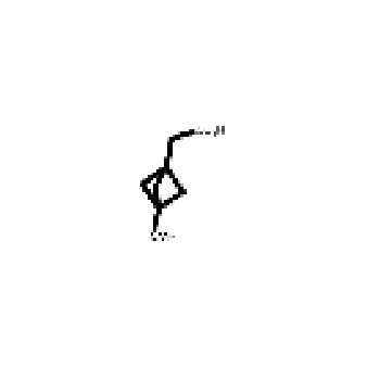 CNC12CC(CC(=O)O)(C1)C2